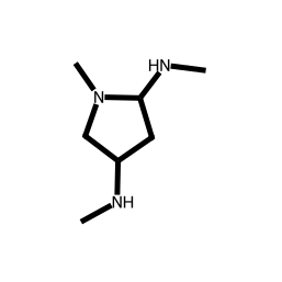 CNC1CC(NC)N(C)C1